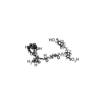 CCN1\C(=C/C=C/C=C/C2=[N+](CCCCCC(=O)NCCSSCCC(=O)NCC#Cc3cn([C@H]4C[C@H](OCN=[N+]=[N-])[C@@H](COP(=O)(O)OP(=O)(O)OP(=O)(O)O)O4)c4nc(N)[nH]c(=O)c34)c3ccc(S(=O)(=O)O)cc3C2(C)C)C(C)(C)c2cc(S(=O)(=O)O)ccc21